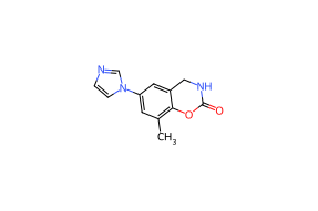 Cc1cc(-n2ccnc2)cc2c1OC(=O)NC2